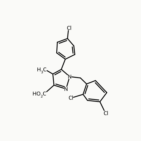 Cc1c(C(=O)O)nn(Cc2ccc(Cl)cc2Cl)c1-c1ccc(Cl)cc1